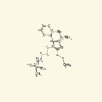 COCCn1nc2c(N)nc3ccccc3c2c1CCCCNS(C)(=O)=O